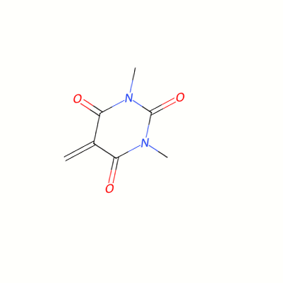 C=C1C(=O)N(C)C(=O)N(C)C1=O